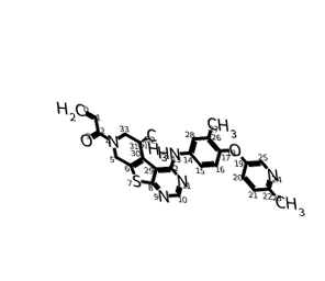 C=CC(=O)N1Cc2sc3ncnc(Nc4ccc(Oc5ccc(C)nc5)c(C)c4)c3c2[C@H](C)C1